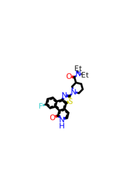 CCN(CC)C(=O)C1CCCN(c2nc3c4ccc(F)cc4c4c(=O)[nH]ccc4c3s2)C1